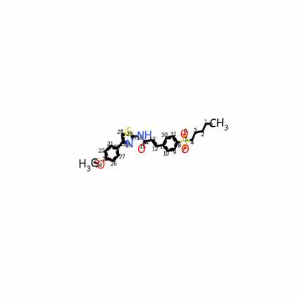 CCCCCS(=O)(=O)c1ccc(/C=C/C(=O)Nc2nc(-c3ccc(OC)cc3)cs2)cc1